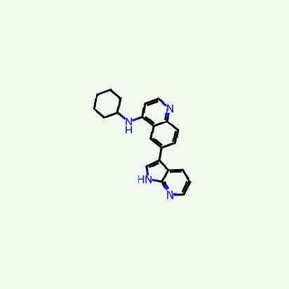 c1cnc2[nH]cc(-c3ccc4nccc(NC5CCCCC5)c4c3)c2c1